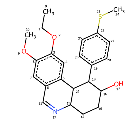 CCOc1cc2c(cc1OC)C=NC1CCC(O)C(c3ccc(SC)cc3)C21